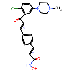 CN1CCN(c2ccc(Cl)c(C(=O)/C=C/c3ccc(/C=C/C(=O)NO)cc3)c2)CC1